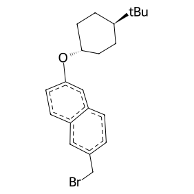 CC(C)(C)[C@H]1CC[C@H](Oc2ccc3cc(CBr)ccc3c2)CC1